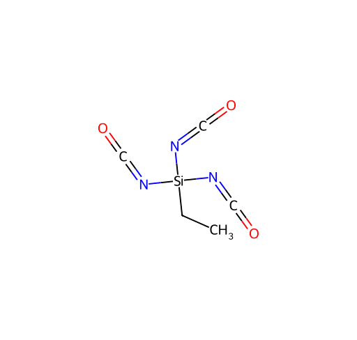 CC[Si](N=C=O)(N=C=O)N=C=O